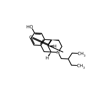 CCC(CC)CN1CC[C@]23CCC(=O)C[C@H]2[C@H]1Cc1ccc(O)cc13